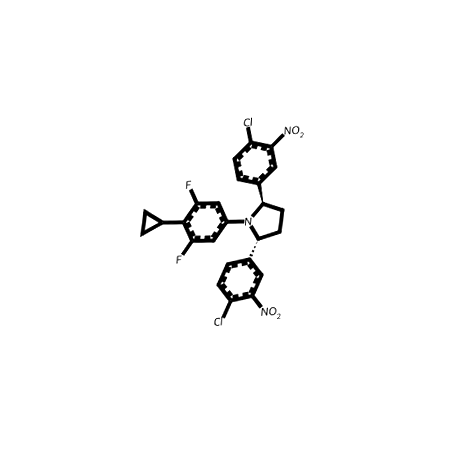 O=[N+]([O-])c1cc([C@H]2CC[C@H](c3ccc(Cl)c([N+](=O)[O-])c3)N2c2cc(F)c(C3CC3)c(F)c2)ccc1Cl